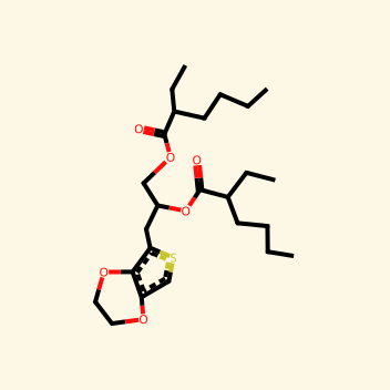 CCCCC(CC)C(=O)OCC(Cc1scc2c1OCCO2)OC(=O)C(CC)CCCC